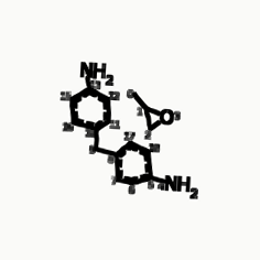 CC1CO1.Nc1ccc(Cc2ccc(N)cc2)cc1